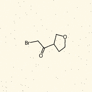 O=C(CBr)C1CCOC1